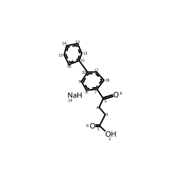 O=C(O)CCC(=O)c1ccc(-c2ccccc2)cc1.[NaH]